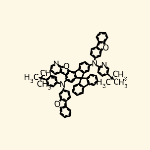 CC(C)(C)c1ccc(N(c2ccc3c(c2)oc2ccccc23)c2cc3c(c4oc5ncccc5c24)-c2ccc(N(c4ccc5c(c4)oc4ccccc45)c4ccc(C(C)(C)C)cn4)cc2C32c3ccccc3-c3ccccc32)cc1